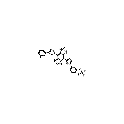 Cc1cccc(-c2ccc(-c3c4c(c(-c5ccc(-c6cccc(SC(F)(F)F)c6)s5)c5nsnc35)N=S=N4)s2)c1